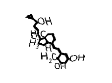 C=C1/C(=C\C=C2/CCC[C@]3(C)C([C@H](C)/C=C/[C@@H](O)C4CC4)CC[C@@H]23)C[C@@H](O)C[C@@H]1O